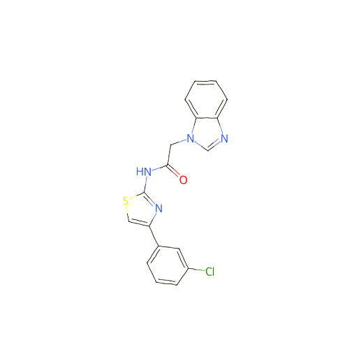 O=C(Cn1cnc2ccccc21)Nc1nc(-c2cccc(Cl)c2)cs1